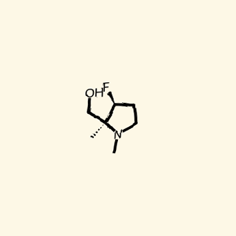 CN1CC[C@H](F)[C@]1(C)CO